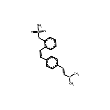 CN(C)N=Nc1ccc(/C=C\c2ccccc2OS(N)(=O)=O)cc1